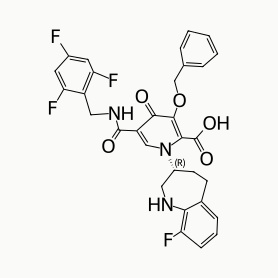 O=C(NCc1c(F)cc(F)cc1F)c1cn([C@@H]2CCc3cccc(F)c3NC2)c(C(=O)O)c(OCc2ccccc2)c1=O